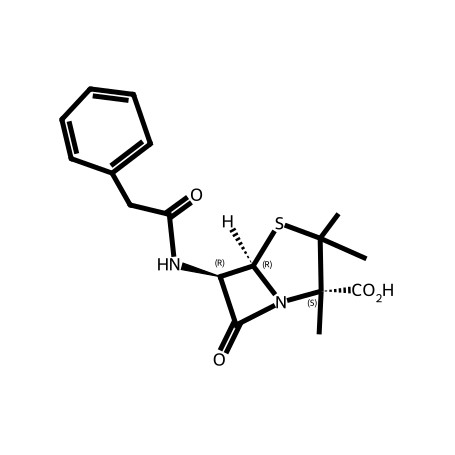 CC1(C)S[C@@H]2[C@H](NC(=O)Cc3ccccc3)C(=O)N2[C@@]1(C)C(=O)O